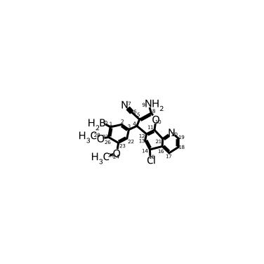 Bc1cc(C2C(C#N)=C(N)Oc3c2cc(Cl)c2cccnc32)cc(OC)c1OC